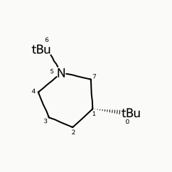 CC(C)(C)[C@@H]1CCCN(C(C)(C)C)C1